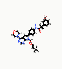 CC(C)(C(=O)Nc1ccc(-c2cc3c(N4CCOCC4)ncnc3n2COCC[Si](C)(C)C)cc1)c1cccc(Br)c1